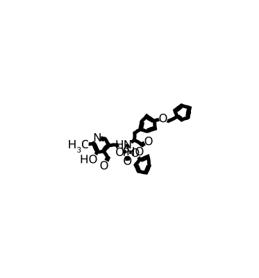 Cc1ncc(COP(=O)(NC(Cc2ccc(OCc3ccccc3)cc2)C(=O)O)Oc2ccccc2)c(C=O)c1O